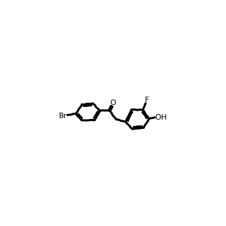 O=C(Cc1ccc(O)c(F)c1)c1ccc(Br)cc1